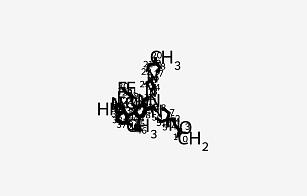 C=CC(=O)N1CC2(CCN(c3nc(N4CC(N5CCC(C)CC5)C4)nc4c(OCC(F)(F)F)c(-c5c(C)ccc6[nH]ncc56)c(C5CC5)cc34)CC2)C1